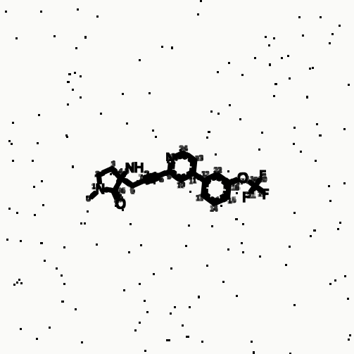 CN1CCC(N)(CC#Cc2cc(-c3cccc(OC(F)(F)F)c3)ccn2)C1=O